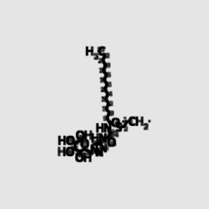 [CH2][CH]CSC[C@@H](NC(=O)CCCCCCCCCCCCCCC)C(=O)Nc1cn(CC2OC(O)C(O)C(O)C2O)nn1